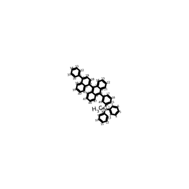 C[Si](c1ccccc1)(c1ccccc1)c1cccc(-c2c3ccccc3c(-c3ccc(-c4ccccc4)c4ccccc34)c3ccccc23)c1